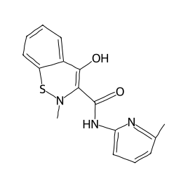 Cc1cccc(NC(=O)C2=C(O)c3ccccc3SN2C)n1